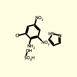 Nc1c(Cl)cc([N+](=O)[O-])cc1[N+](=O)[O-].O=S(=O)(O)O.c1cn[nH]c1